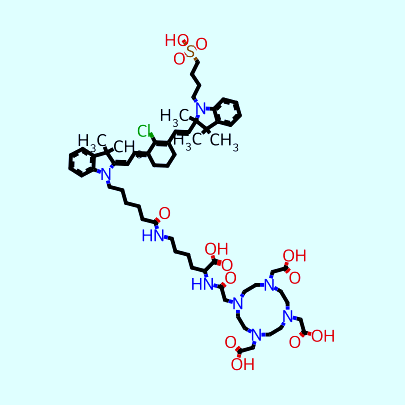 CC1(C)/C(=C\C=C2/CCCC(/C=C/C3(C)N(CCCCS(=O)(=O)O)c4ccccc4C3(C)C)=C2Cl)N(CCCCCC(=O)NCCCCC(NC(=O)CN2CCN(CC(=O)O)CCN(CC(=O)O)CCN(CC(=O)O)CC2)C(=O)O)c2ccccc21